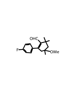 COC1(C)CC(c2ccc(F)cc2)=C(C=O)C(C)(C)C1